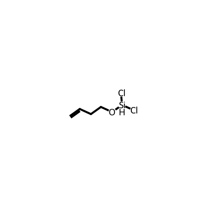 C=CCCO[SiH](Cl)Cl